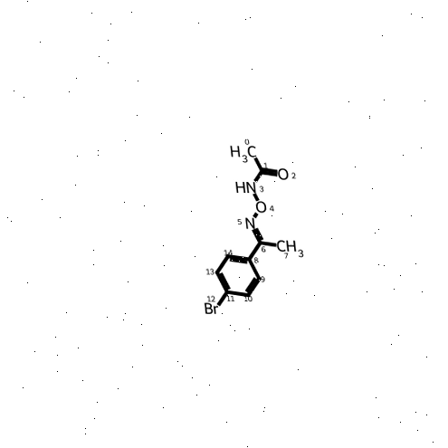 CC(=O)NON=C(C)c1ccc(Br)cc1